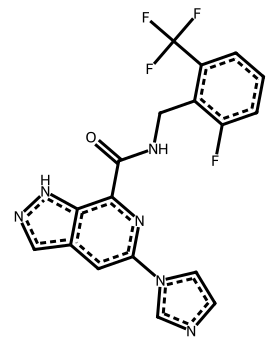 O=C(NCc1c(F)cccc1C(F)(F)F)c1nc(-n2ccnc2)cc2cn[nH]c12